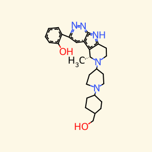 C[C@@H]1c2c([nH]c3nnc(-c4ccccc4O)cc23)CCN1C1CCN(C2CCC(CO)CC2)CC1